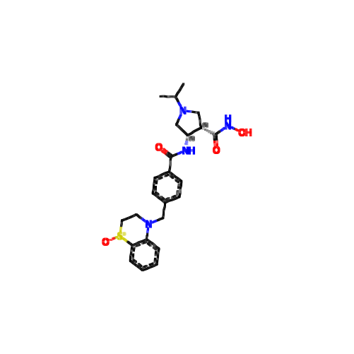 CC(C)N1C[C@H](C(=O)NO)[C@H](NC(=O)c2ccc(CN3CC[S+]([O-])c4ccccc43)cc2)C1